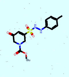 Cc1ccc(NNS(=O)(=O)C2=CC(=O)CN(C(=O)OC(C)(C)C)C2)cc1